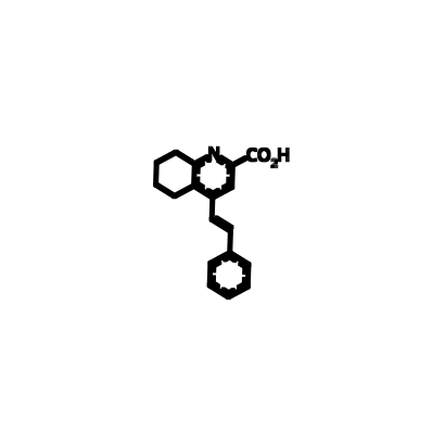 O=C(O)c1cc(/C=C/c2ccccc2)c2c(n1)CCCC2